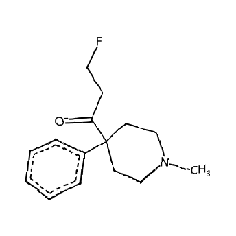 CN1CCC(C(=O)CCF)(c2ccccc2)CC1